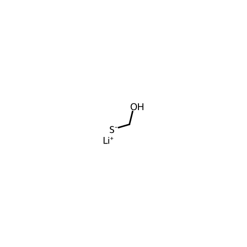 OC[S-].[Li+]